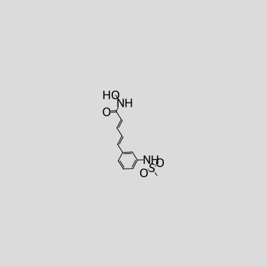 CS(=O)(=O)Nc1cccc(/C=C/C=C/C(=O)NO)c1